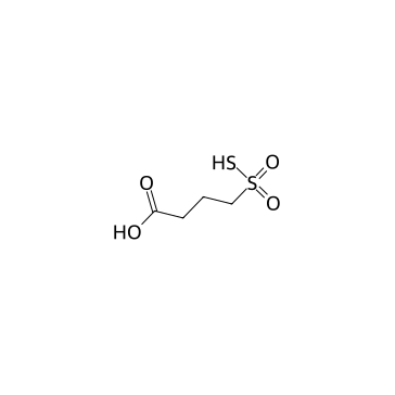 O=C(O)CCCS(=O)(=O)S